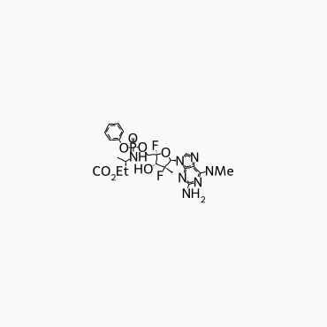 CCOC(=O)[C@@H](C)NP(=O)(OC[C@@]1(F)O[C@@H](n2cnc3c(NC)nc(N)nc32)[C@](C)(F)[C@@H]1O)Oc1ccccc1